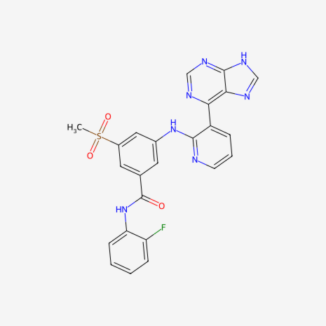 CS(=O)(=O)c1cc(Nc2ncccc2-c2ncnc3[nH]cnc23)cc(C(=O)Nc2ccccc2F)c1